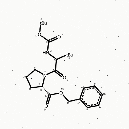 CC(C)(C)OC(=O)NC(C(=O)N1CCC[C@H]1C(=O)OCc1ccccc1)C(C)(C)C